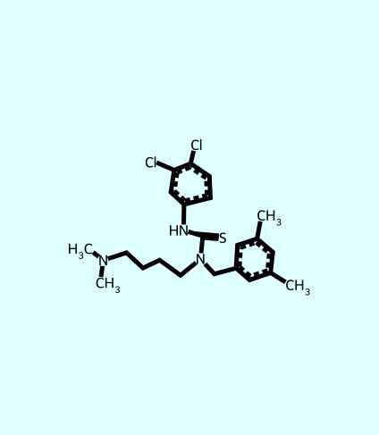 Cc1cc(C)cc(CN(CCCCN(C)C)C(=S)Nc2ccc(Cl)c(Cl)c2)c1